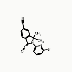 CC1(C)c2cc(C#N)ccc2C(=C=O)N1c1cccc(Br)n1